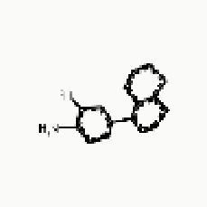 [2H]c1cc(-c2cccc3ccccc23)ccc1N